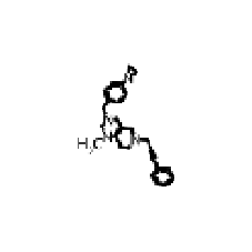 CN1CN(Cc2ccc(N3CC3)cc2)CC2=C1CCN(CC#Cc1ccccc1)C2